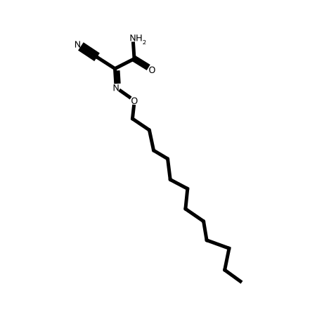 CCCCCCCCCCCCON=C(C#N)C(N)=O